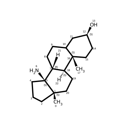 C[C@@]12CCC[C@]1(N)[C@@H]1CCC3C[C@@H](O)CC[C@]3(C)[C@H]1CC2